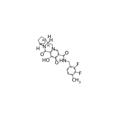 Cc1ccc(CNC(=O)c2cn3c(c(O)c2=O)C(=O)N2[C@H]4CC[C@H](C4)[C@@H]2C3)c(F)c1F